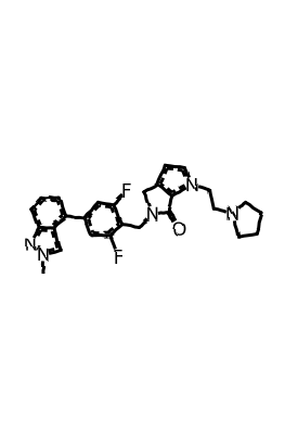 Cn1cc2c(-c3cc(F)c(CN4Cc5ccn(CCN6CCCC6)c5C4=O)c(F)c3)cccc2n1